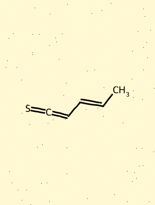 CC=CC=C=S